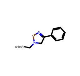 CCCCCCCCN1CC(c2ccccc2)=NS1